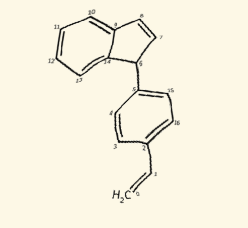 C=Cc1ccc(C2C=Cc3ccccc32)cc1